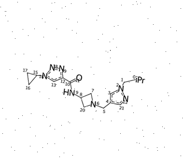 CC(C)Cn1cc(CN2CC(NC(=O)c3cn(C4CC4)nn3)C2)cn1